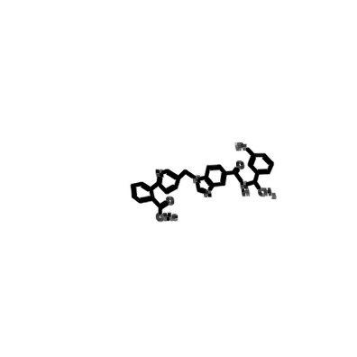 COC(=O)c1ccccc1-c1ccc(Cn2cnc3cc(C(=O)NC(C)c4cccc(C(C)C)c4)ccc32)cn1